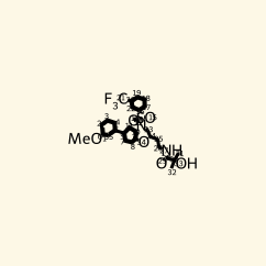 COc1cccc(-c2ccc3c(c2)N(S(=O)(=O)c2cccc(C(F)(F)F)c2)CC(CCNC(=O)C(C)(C)O)O3)c1